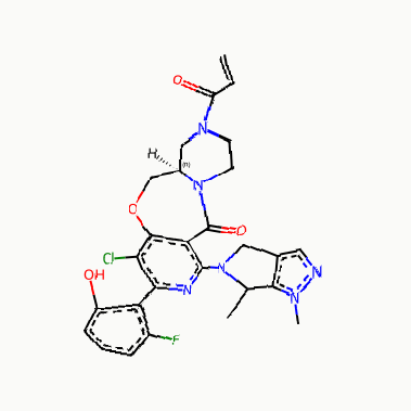 C=CC(=O)N1CCN2C(=O)c3c(N4Cc5cnn(C)c5C4C)nc(-c4c(O)cccc4F)c(Cl)c3OC[C@H]2C1